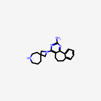 Nc1nc2c(c(N3CC4(CCCNCC4)C3)n1)CCCc1ccccc1-2